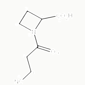 N#CCCC(=O)N1CCC1C(=O)O